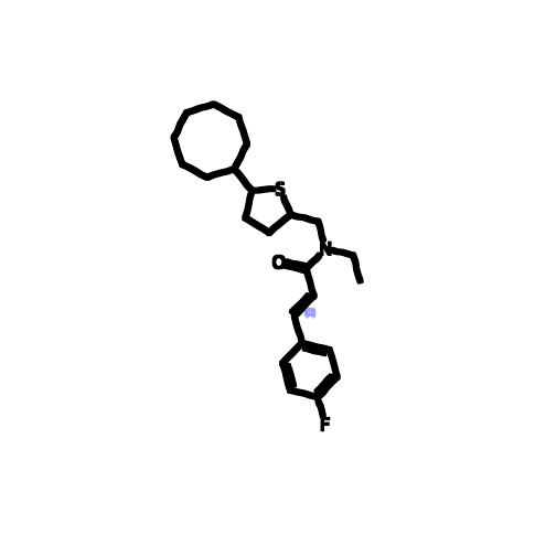 CCN(CC1CCC(C2CCCCCCC2)S1)C(=O)/C=C/c1ccc(F)cc1